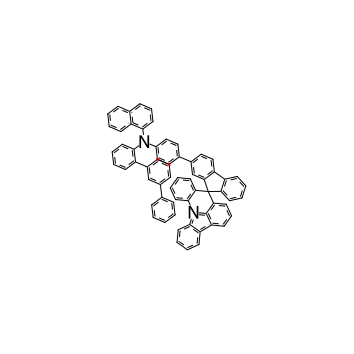 c1ccc(-c2cccc(-c3ccccc3N(c3ccc(-c4ccc5c(c4)C4(c6ccccc6-5)c5ccccc5-n5c6ccccc6c6cccc4c65)cc3)c3cccc4ccccc34)c2)cc1